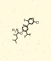 CC(C)CC(C)C(N)Oc1cnc(-c2cc(Cl)ncc2F)cc1C(F)F